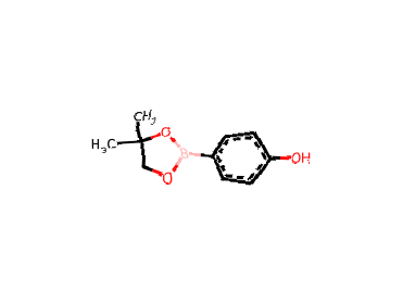 CC1(C)COB(c2ccc(O)cc2)O1